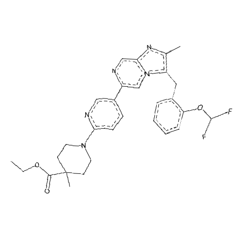 CCOC(=O)C1(C)CCN(c2ccc(-c3cn4c(Cc5ccccc5OC(F)F)c(C)nc4cn3)cn2)CC1